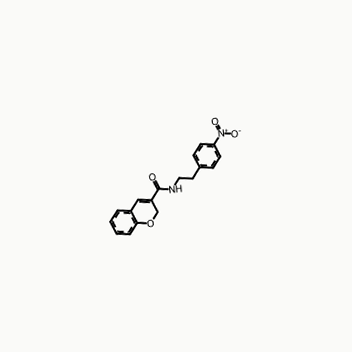 O=C(NCCc1ccc([N+](=O)[O-])cc1)C1=Cc2ccccc2OC1